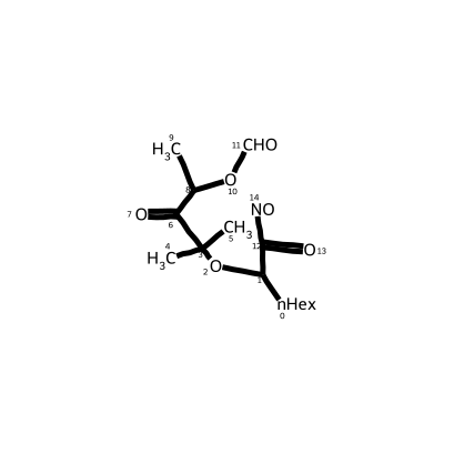 CCCCCCC(OC(C)(C)C(=O)C(C)OC=O)C(=O)N=O